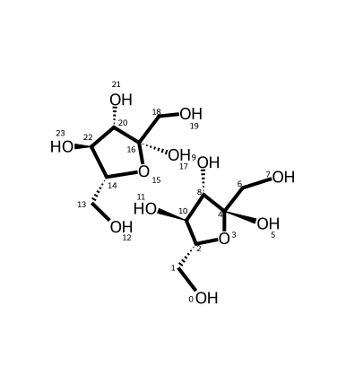 OC[C@H]1O[C@@](O)(CO)[C@@H](O)[C@@H]1O.OC[C@H]1O[C@](O)(CO)[C@@H](O)[C@@H]1O